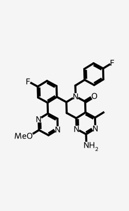 COc1cncc(-c2cc(F)ccc2C2Cc3nc(N)nc(C)c3C(=O)N2Cc2ccc(F)cc2)n1